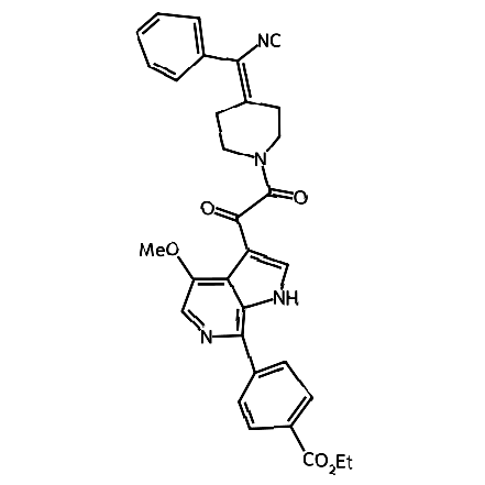 [C-]#[N+]C(=C1CCN(C(=O)C(=O)c2c[nH]c3c(-c4ccc(C(=O)OCC)cc4)ncc(OC)c23)CC1)c1ccccc1